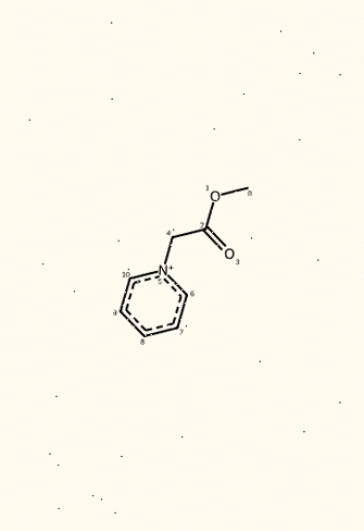 COC(=O)C[n+]1ccccc1